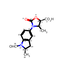 CC1[C@H](C(=O)O)OC(=O)N1c1ccc2c(c1)C[C@@H](C)N2C=O